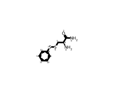 NC(=O)[C@@H](N)CSSc1ccccc1